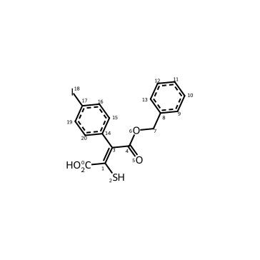 O=C(O)C(S)=C(C(=O)OCc1ccccc1)c1ccc(I)cc1